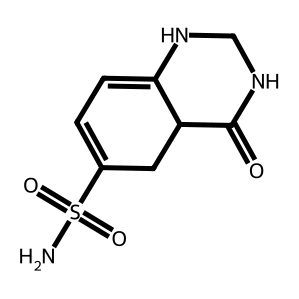 NS(=O)(=O)C1=CC=C2NCNC(=O)C2C1